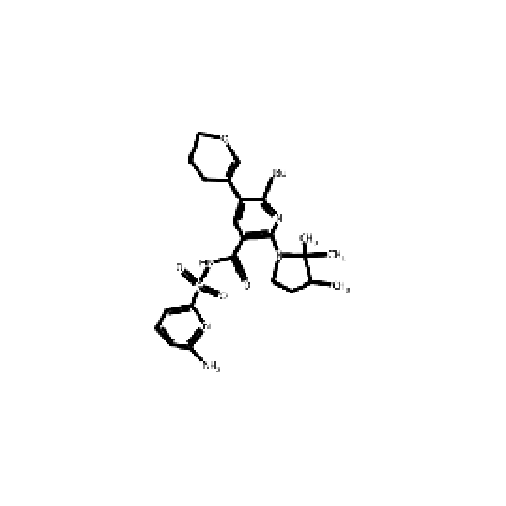 CC1CCN(c2nc(C(C)(C)C)c(C3=COCCC3)cc2C(=O)NS(=O)(=O)c2cccc(N)n2)C1(C)C